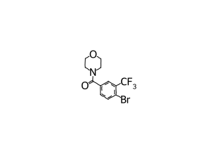 O=C(c1ccc(Br)c(C(F)(F)F)c1)N1CCOCC1